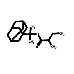 CCC(C)C(=O)OC(C)(C)C12CC3CC(CC(C3)C1)C2